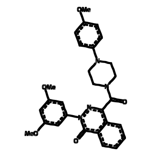 COc1ccc(N2CCN(C(=O)c3nn(-c4cc(OC)cc(OC)c4)c(=O)c4ccccc34)CC2)cc1